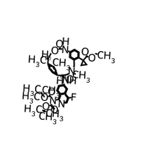 CCOC(=O)C1(c2ccc3cc2CN(C)C(=O)[C@H](Nc2ccc4c(N(C(=O)OC(C)(C)C)C(=O)OC(C)(C)C)ncc(F)c4c2)c2ccc(c(C)c2)[C@@H](C)COC(=O)N3)CC1